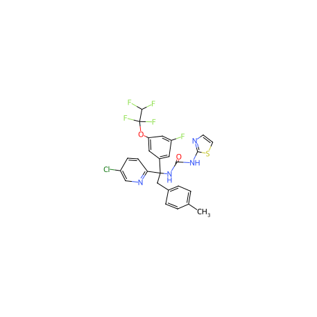 Cc1ccc(CC(NC(=O)Nc2nccs2)(c2cc(F)cc(OC(F)(F)C(F)F)c2)c2ccc(Cl)cn2)cc1